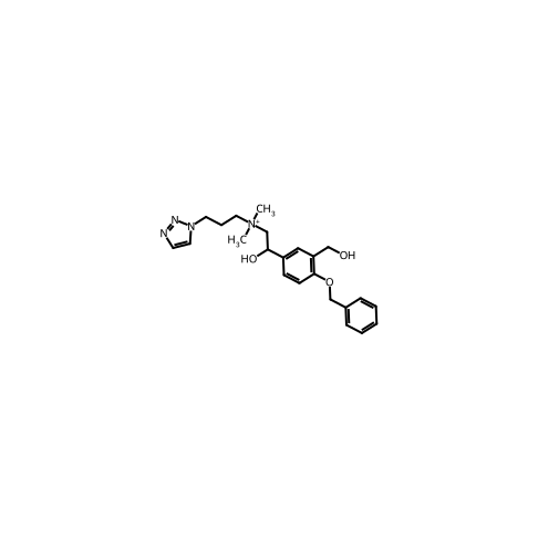 C[N+](C)(CCCn1ccnn1)CC(O)c1ccc(OCc2ccccc2)c(CO)c1